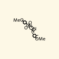 COc1ccc(N2C(=O)C3Cc4c(ncn4Cc4ccc(OC)c(C)c4)CN3C2=O)cc1